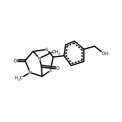 CN1C(=O)C2SC(c3ccc(CO)cc3)SC1C(=O)N2C